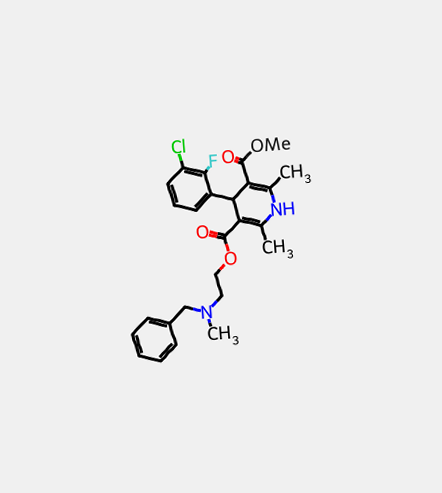 COC(=O)C1=C(C)NC(C)=C(C(=O)OCCN(C)Cc2ccccc2)C1c1cccc(Cl)c1F